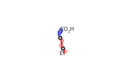 CCOc1ccc(OCCOc2ccc(CN3CCN(C(=O)O)CC3)cc2)cc1